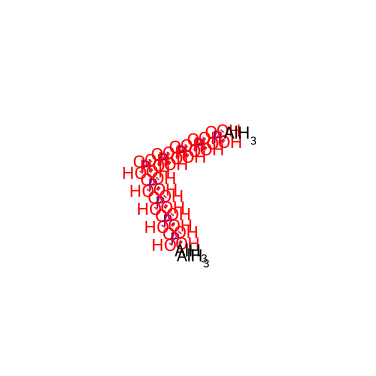 O=P(O)(O)O.O=P(O)(O)O.O=P(O)(O)O.O=P(O)(O)O.O=P(O)(O)O.O=P(O)(O)O.O=P(O)(O)O.O=P(O)(O)O.O=P(O)(O)O.[AlH3].[AlH3].[AlH3]